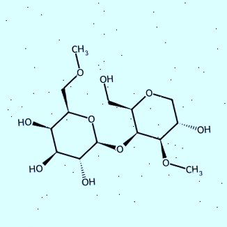 COC[C@H]1O[C@@H](O[C@@H]2[C@H](OC)[C@@H](O)CO[C@@H]2CO)[C@H](O)[C@@H](O)[C@H]1O